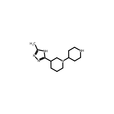 Cc1nnc(C2CCCN(C3CCNCC3)C2)[nH]1